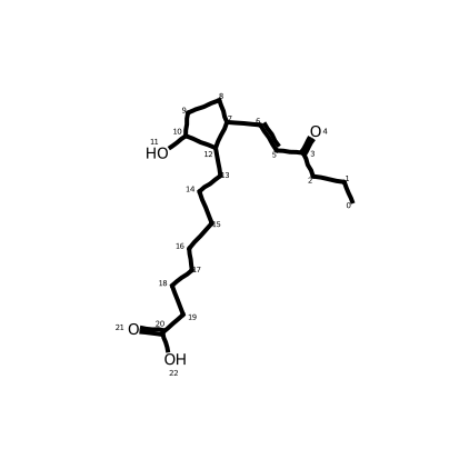 CCCC(=O)C=CC1CCC(O)C1CCCCCCCC(=O)O